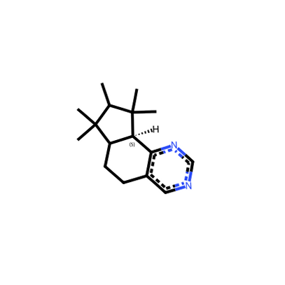 CC1C(C)(C)C2CCc3cncnc3[C@@H]2C1(C)C